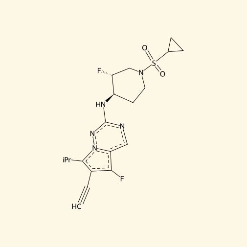 C#Cc1c(F)c2cnc(N[C@@H]3CCN(S(=O)(=O)C4CC4)C[C@H]3F)nn2c1C(C)C